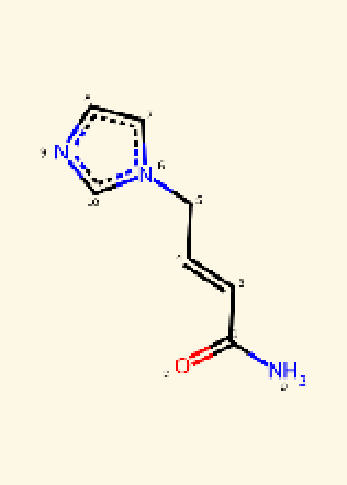 NC(=O)C=CCn1ccnc1